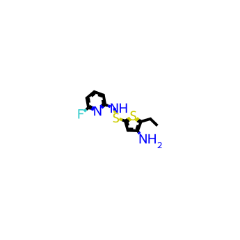 CCc1sc(SNc2cccc(F)n2)cc1N